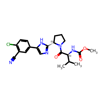 COC(=O)N[C@H](C(=O)N1CCC[C@H]1c1ncc(-c2ccc(Cl)c(C#N)c2)[nH]1)C(C)C